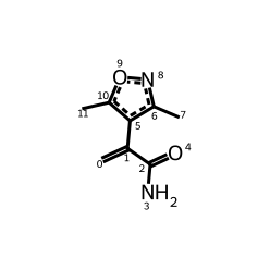 C=C(C(N)=O)c1c(C)noc1C